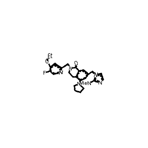 CCOc1cc(CN2CCc3c(cc(Cn4ccnc4NC)cc3N3CCCC3)C2=O)ncc1F